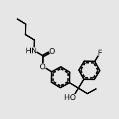 CCCCNC(=O)Oc1ccc(C(O)(CC)c2ccc(F)cc2)cc1